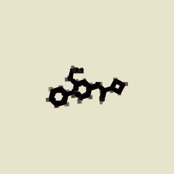 CCCCCCCCOc1cc(=NC(=O)C2CCC2)cnn1-c1ccccc1